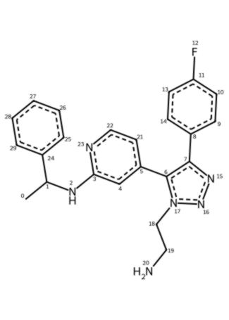 CC(Nc1cc(-c2c(-c3ccc(F)cc3)nnn2CCN)ccn1)c1ccccc1